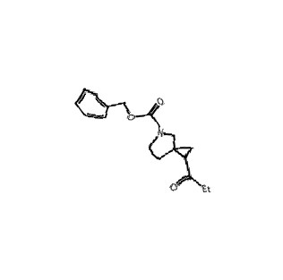 CCC(=O)C1CC12CCN(C(=O)OCc1ccccc1)C2